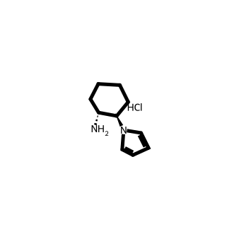 Cl.N[C@@H]1CCCC[C@H]1n1cccc1